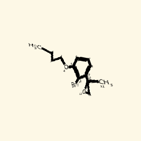 CCCCOc1cccc(C2(C)CO2)c1Br